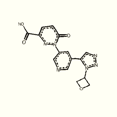 O=C(O)c1ccc(=O)n(-c2cncc(-c3cnnn3C3COC3)c2)n1